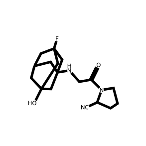 N#CC1CCCN1C(=O)CNC12CC3CC(O)(CC(F)(C3)C1)C2